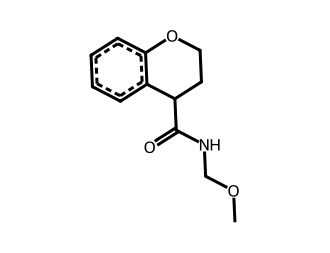 COCNC(=O)C1CCOc2ccccc21